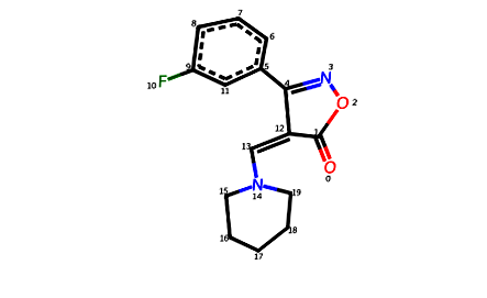 O=C1ON=C(c2cccc(F)c2)C1=CN1CCCCC1